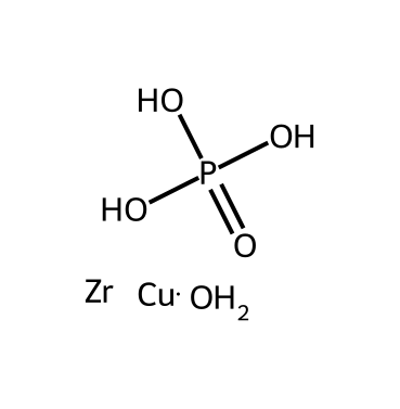 O.O=P(O)(O)O.[Cu].[Zr]